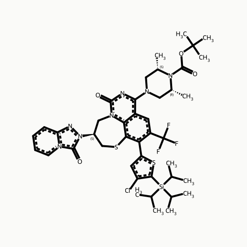 CC(C)[Si](c1sc(-c2c(C(F)(F)F)cc3c(N4C[C@@H](C)N(C(=O)OC(C)(C)C)[C@@H](C)C4)nc(=O)n4c3c2SC[C@@H](n2nc3ccccn3c2=O)C4)cc1Cl)(C(C)C)C(C)C